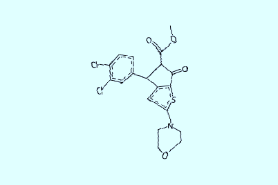 COC(=O)C1C(=O)c2sc(N3CCOCC3)cc2C1c1ccc(Cl)c(Cl)c1